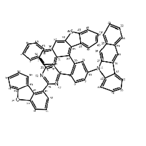 c1ccc(-c2nc(-c3ccc(-n4c5ccccc5c5cc6ccccc6cc54)cc3-c3c4ccccc4cc4sc5ccccc5c34)nc(-c3cccc4oc5ccccc5c34)n2)cc1